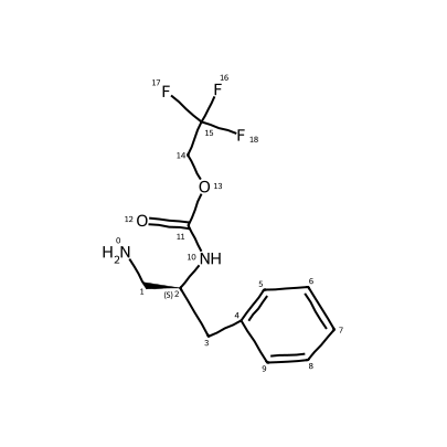 NC[C@H](Cc1ccccc1)NC(=O)OCC(F)(F)F